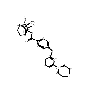 C[C@H]1[C@H](NC(=O)c2ccc(Sc3cccc(N4CCOCC4)n3)cc2)C2CCN1CC2